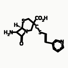 NC1C(=O)N2CC(CSC=Cc3cccnc3)(C(=O)O)CS[C@H]12